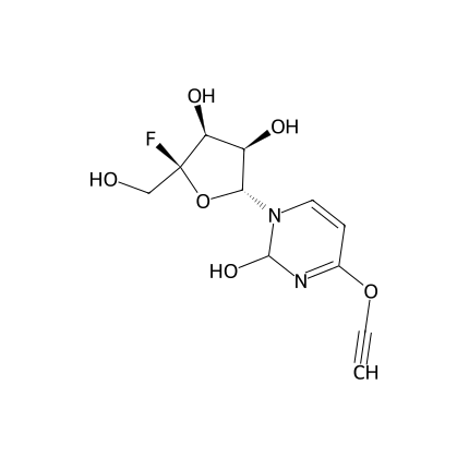 C#COC1=NC(O)N([C@@H]2O[C@](F)(CO)[C@@H](O)[C@H]2O)C=C1